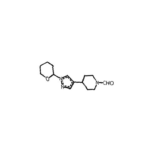 O=CN1CCC(c2cnn(C3CCCCO3)c2)CC1